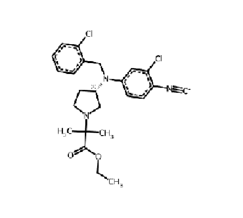 [C-]#[N+]c1ccc(N(Cc2ccccc2Cl)[C@H]2CCN(C(C)(C)C(=O)OCC)C2)cc1Cl